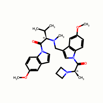 COc1ccc2c(ccn2C(=O)[C@@H](C(C)C)N(C)Cc2cn(C(=O)[C@@H](C)N3CCC3)c3ccc(OC)cc23)c1